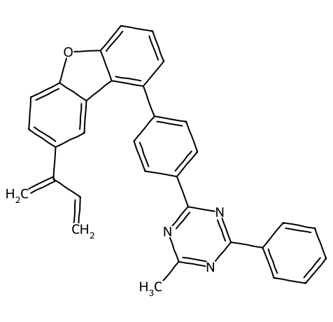 C=CC(=C)c1ccc2oc3cccc(-c4ccc(-c5nc(C)nc(-c6ccccc6)n5)cc4)c3c2c1